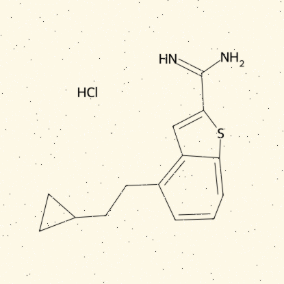 Cl.N=C(N)c1cc2c(CCC3CC3)cccc2s1